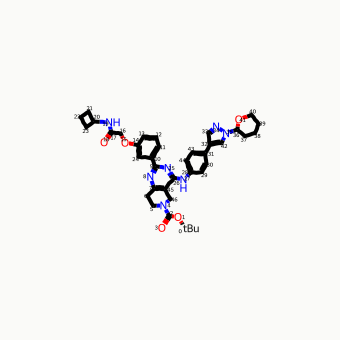 CC(C)(C)OC(=O)N1CCc2nc(-c3cccc(OCC(=O)NC4CCC4)c3)nc(Nc3ccc(-c4cnn(C5CCCCO5)c4)cc3)c2C1